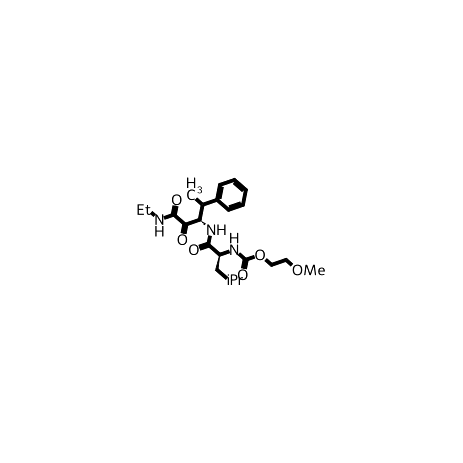 CCNC(=O)C(=O)[C@@H](NC(=O)[C@H](CC(C)C)NC(=O)OCCOC)C(C)c1ccccc1